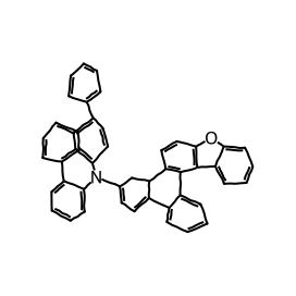 C1=C2c3ccccc3-c3c(ccc4oc5ccccc5c34)C2CC(N(c2ccc(-c3ccccc3)cc2)c2ccccc2-c2ccccc2)=C1